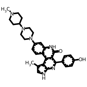 Cc1c[nH]c2nc(-c3ccc(O)cc3)c3c(=O)[nH]c4cc(N5CCN(C6CCN(C)CC6)CC5)ccc4c3c12